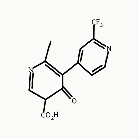 CC1=C(c2ccnc(C(F)(F)F)c2)C(=O)C(C(=O)O)C=N1